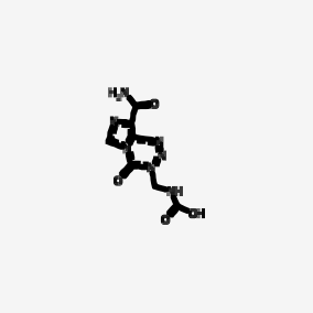 NC(=O)c1ncn2c(=O)n(CNC(=O)O)nnc12